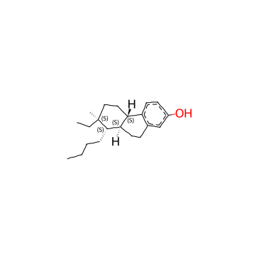 CCCC[C@H]1[C@@H]2CCc3cc(O)ccc3[C@H]2CC[C@]1(C)CC